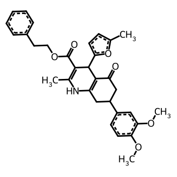 COc1ccc(C2CC(=O)C3=C(C2)NC(C)=C(C(=O)OCCc2ccccc2)C3c2ccc(C)o2)cc1OC